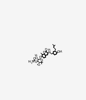 CO[C@@H]1[C@@H](OC(N)=O)[C@@H](O)[C@H](Oc2ccc3cc(NCc4ccc(O)c(CC=C(C)C)c4)c(=O)oc3c2C)OC1(C)C